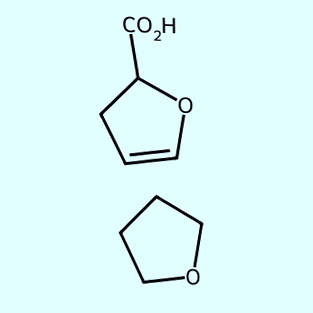 C1CCOC1.O=C(O)C1CC=CO1